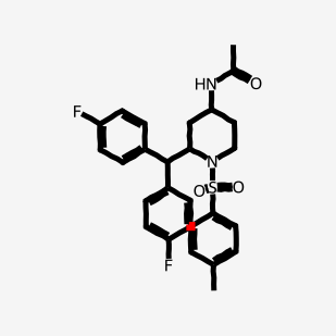 CC(=O)NC1CCN(S(=O)(=O)c2ccc(C)cc2)C(C(c2ccc(F)cc2)c2ccc(F)cc2)C1